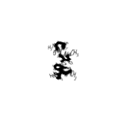 Cc1cc(Cl)c(COc2cccc3c(-c4cc[nH]n4)cc(C)nc23)c(Cn2cccc(N)c2=O)n1